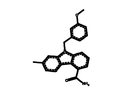 COc1cccc(Cn2c3cc(C)c[c]c3c3c(C(N)=O)cccc32)c1